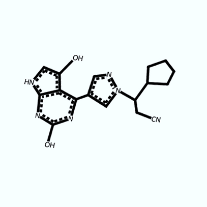 N#CCC(C1CCCC1)n1cc(-c2nc(O)nc3[nH]cc(O)c23)cn1